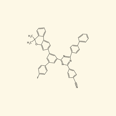 CC1(C)Oc2cc(-c3cc(-c4ccc(F)cc4)cc(-c4nc(-c5ccc(C#N)cc5)nc(-c5ccc(-c6ccccc6)cc5)n4)c3)ccc2-c2ccccc21